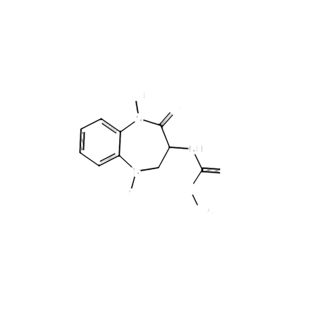 CC(=O)N1CC(NC(=O)OC(C)(C)C)C(=O)N(C)c2ccccc21